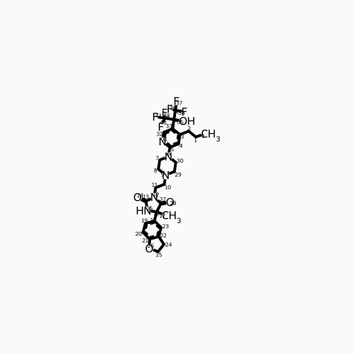 CCCc1cc(N2CCN(CCN3C(=O)NC(C)(c4ccc5c(c4)CCO5)C3=O)CC2)ncc1C(O)(C(F)(F)F)C(F)(F)F